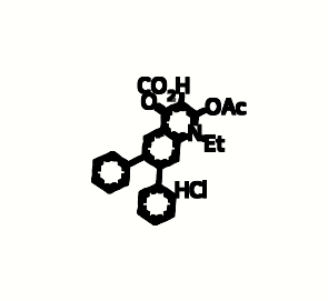 CCn1c(OC(C)=O)c(C(=O)O)c(=O)c2cc(-c3ccccc3)c(-c3ccccc3)cc21.Cl